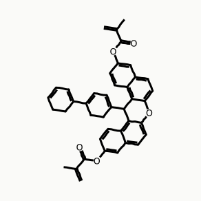 C=C(C)C(=O)Oc1ccc2c3c(ccc2c1)Oc1ccc2cc(OC(=O)C(=C)C)ccc2c1C3C1=CC=C(C2=CC=CCC2)CC1